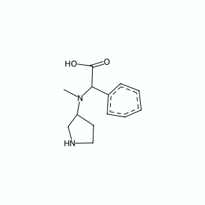 CN(C1CCNC1)C(C(=O)O)c1ccccc1